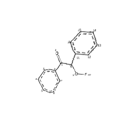 O=C(c1ccccc1)C(OF)c1ccccc1